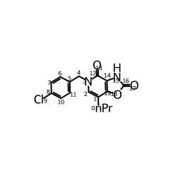 CCCc1cn(Cc2ccc(Cl)cc2)c(=O)c2[nH]c(=O)oc12